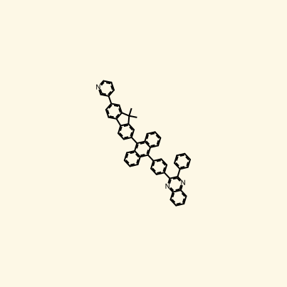 CC1(C)c2cc(-c3cccnc3)ccc2-c2ccc(-c3c4ccccc4c(-c4ccc(-c5nc6ccccc6nc5-c5ccccc5)cc4)c4ccccc34)cc21